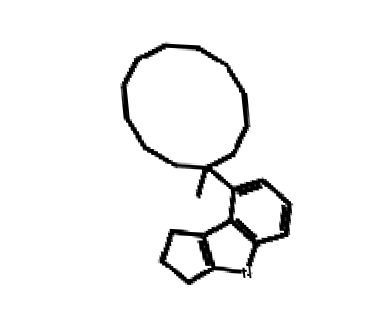 CC1(c2cccc3c2C2=C(CCC2)[N]3)CCCCCCCCCCC1